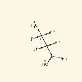 OC(F)C(F)(F)C(F)(F)C(F)(F)F